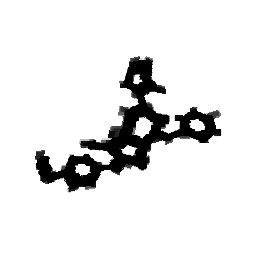 O=Nc1ccc(Cc2nc3c(Cc4ccccc4)[nH]c(-c4ccco4)cn-3c2=O)cc1